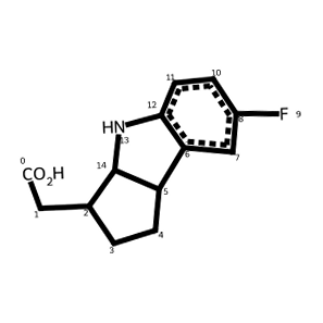 O=C(O)CC1CCC2c3cc(F)ccc3NC12